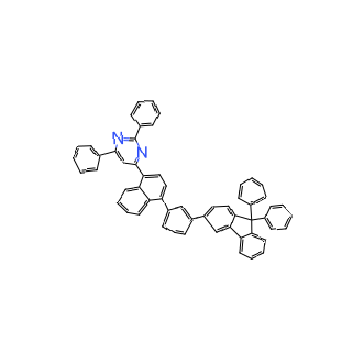 c1ccc(-c2cc(-c3ccc(-c4cccc(-c5ccc6c(c5)-c5ccccc5C6(c5ccccc5)c5ccccc5)c4)c4ccccc34)nc(-c3ccccc3)n2)cc1